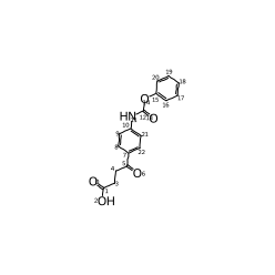 O=C(O)CCC(=O)c1ccc(NC(=O)Oc2ccccc2)cc1